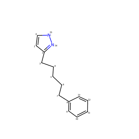 C1=CC(CCCCCc2ccccc2)=N[N]1